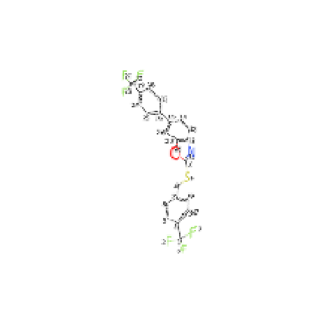 FC(F)(F)c1ccc(CSc2nc3ccc(-c4ccc(C(F)(F)F)cc4)cc3o2)cc1